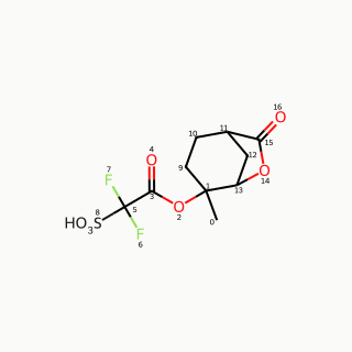 CC1(OC(=O)C(F)(F)S(=O)(=O)O)CCC2CC1OC2=O